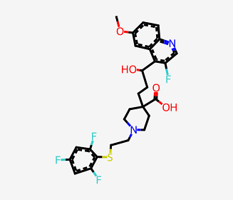 COc1ccc2ncc(F)c(C(O)CCC3(C(=O)O)CCN(CCSc4c(F)cc(F)cc4F)CC3)c2c1